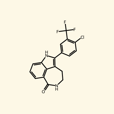 O=C1NCCc2c(-c3ccc(Cl)c(C(F)(F)F)c3)[nH]c3cccc1c23